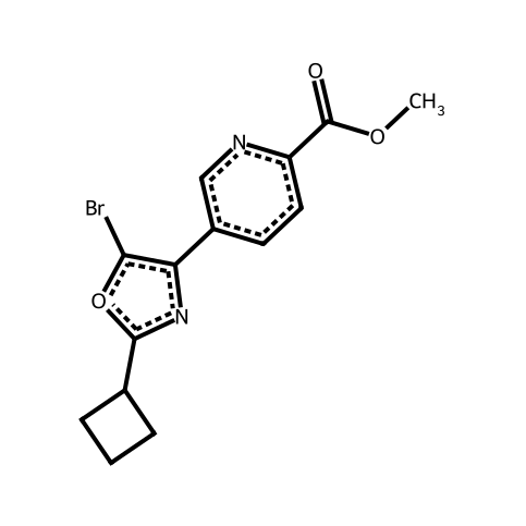 COC(=O)c1ccc(-c2nc(C3CCC3)oc2Br)cn1